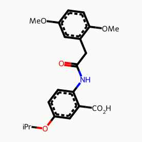 COc1ccc(OC)c(CC(=O)Nc2ccc(OC(C)C)cc2C(=O)O)c1